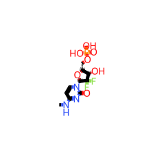 CNc1ccn([C@@H]2O[C@H](COP(=O)(O)O)[C@@H](O)C2(F)F)c(=O)n1